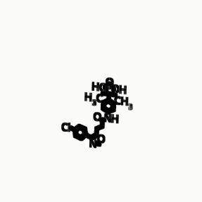 CCC(CC)(c1ccc(NC(=O)CCc2ocnc2-c2ccc(Cl)cc2)cc1)P(=O)(O)O